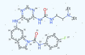 CCN(CC)CCNC(=O)Nc1cc(Nc2ccc3ccn(C(=O)Nc4ccc(F)cc4)c3c2)ncn1